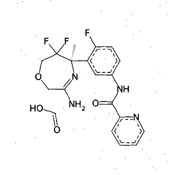 C[C@]1(c2cc(NC(=O)c3ccccn3)ccc2F)N=C(N)COCC1(F)F.O=CO